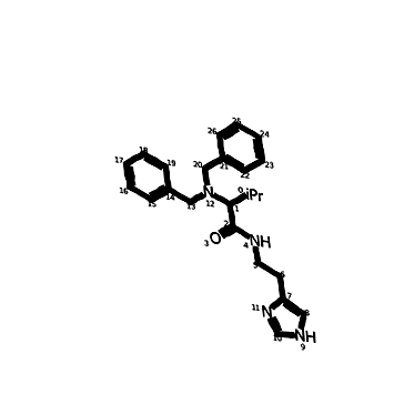 CC(C)C(C(=O)NCCc1c[nH]cn1)N(Cc1ccccc1)Cc1ccccc1